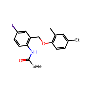 CCc1ccc(OCc2cc(I)ccc2NC(=O)SC)c(C)c1